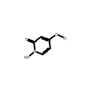 CCOc1ccn(O)c(=O)c1